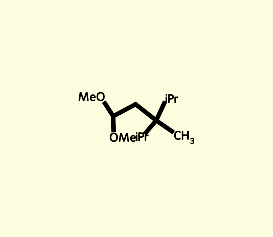 COC(CC(C)(C(C)C)C(C)C)OC